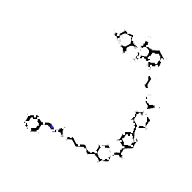 O=C(/C=C/c1cccnc1)NCCCCC1CCN(C(=O)c2ccc(C3CCN(C(=O)COCCSc4cccc5c4C(=O)N(C4CCC(=O)NC4=O)C5=O)CC3)cc2)CC1